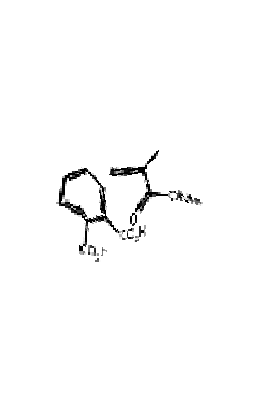 C=C(C)C(=O)OC.O=C(O)c1ccccc1C(=O)O